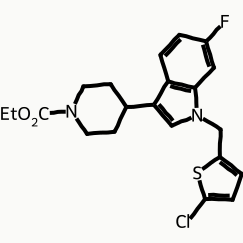 CCOC(=O)N1CCC(c2cn(Cc3ccc(Cl)s3)c3cc(F)ccc23)CC1